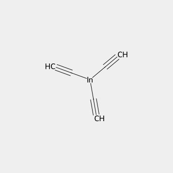 C#[C][In]([C]#C)[C]#C